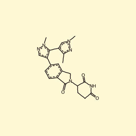 Cc1nn(C)cc1-c1c(-c2ccc3c(c2)CN(C2CCC(=O)NC2=O)C3=O)cnn1C